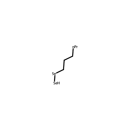 CCCCCC[Se][SeH]